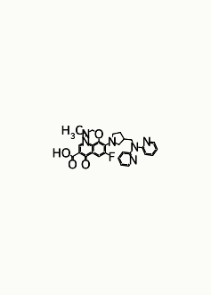 CN1COc2c(N3CCC(CN(c4ccccn4)c4ccccn4)C3)c(F)cc3c(=O)c(C(=O)O)cn1c23